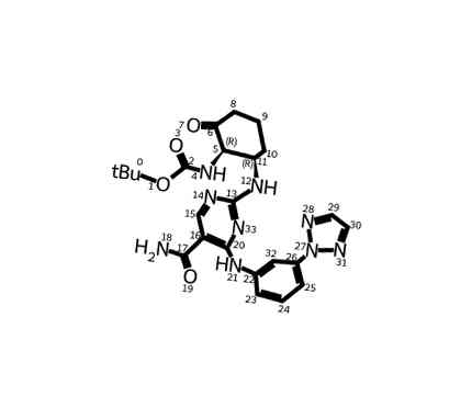 CC(C)(C)OC(=O)N[C@H]1C(=O)CCC[C@H]1Nc1ncc(C(N)=O)c(Nc2cccc(-n3nccn3)c2)n1